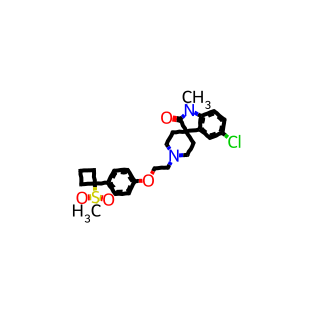 CN1C(=O)C2(CCN(CCOc3ccc(C4(S(C)(=O)=O)CCC4)cc3)CC2)c2cc(Cl)ccc21